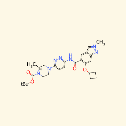 C[C@H]1CN(c2ccc(NC(=O)c3cc4cn(C)nc4cc3OC3CCC3)nn2)CCN1C(=O)OC(C)(C)C